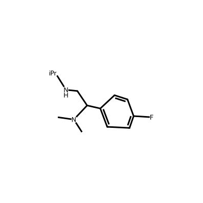 CC(C)NCC(c1ccc(F)cc1)N(C)C